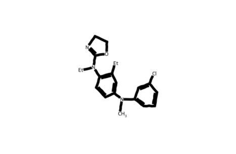 CCc1cc(N(C)c2cccc(Cl)c2)ccc1N(CC)C1=NCCO1